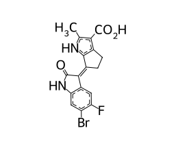 Cc1[nH]c2c(c1C(=O)O)CC/C2=C1/C(=O)Nc2cc(Br)c(F)cc21